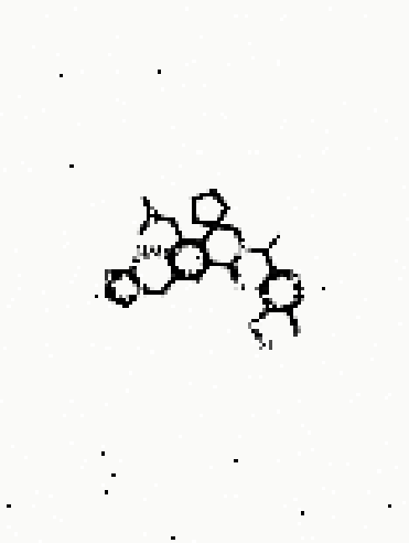 CCOc1cc([C@H](C)N2CC3(CCCC3)c3c(CN(C)C)cc(Cn4ccnc4NC)cc3C2=O)ncc1F